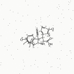 CC(C)C(C)(C)CC1NC(C(=O)O)C(c2cccc(Cl)c2F)C1(C#N)c1ccc(Cl)cc1F